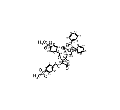 CS(=O)(=O)c1ccc(COC2=C(OCc3ccc(S(C)(=O)=O)cc3)[C@@H]([C@H](CO)OP(=O)(OCc3ccccc3)OCc3ccccc3)OC2=O)cc1